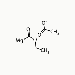 CC(=O)[O-].CCO[C](=O)[Mg+]